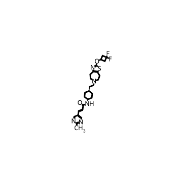 Cc1ncc(/C=C/C(=O)N[C@H]2CC[C@H](CCN3CCc4nc(OC5CC(F)(F)C5)sc4CC3)CC2)cn1